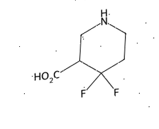 O=C(O)C1CNCCC1(F)F